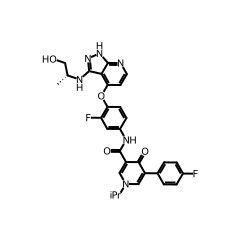 CC(C)n1cc(C(=O)Nc2ccc(Oc3ccnc4[nH]nc(N[C@H](C)CO)c34)c(F)c2)c(=O)c(-c2ccc(F)cc2)c1